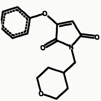 O=C1C=C(Oc2ccccc2)C(=O)N1CC1CCOCC1